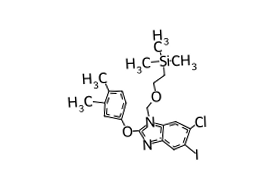 Cc1ccc(Oc2nc3cc(I)c(Cl)cc3n2COCC[Si](C)(C)C)cc1C